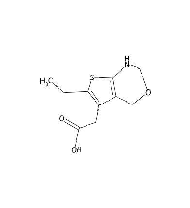 CCc1sc2c(c1CC(=O)O)COCN2